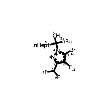 CCCCCCCC(C)(CCCC)n1nc(C(F)F)c(F)c1Br